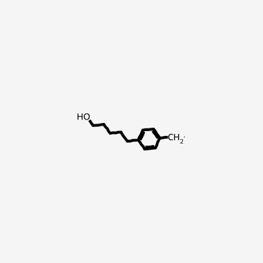 [CH2]c1ccc(CCCCCO)cc1